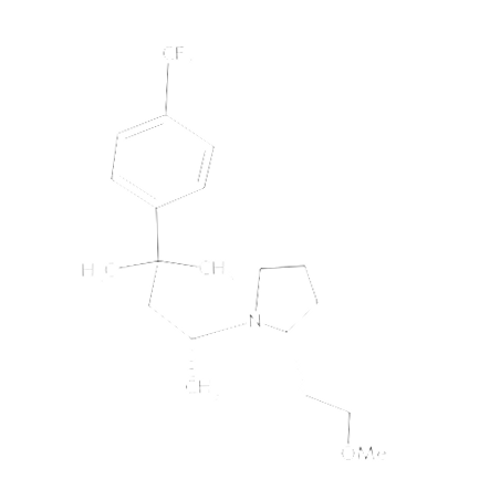 COCC[C@H]1CCCN1[C@H](C)CC(C)(C)c1ccc(C(F)(F)F)cc1